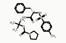 CC(C)(C)OC(=O)N1CCCC1.Cc1ccc(S(=O)(=O)N[C@@H](Cc2ccccc2)C(=O)O)cc1